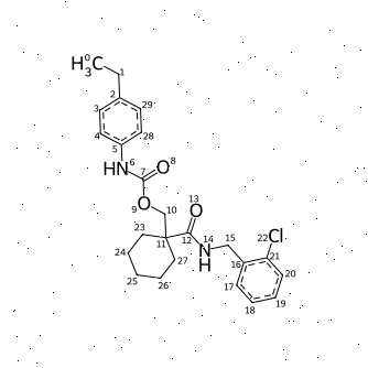 CCc1ccc(NC(=O)OCC2(C(=O)NCc3ccccc3Cl)CCCCC2)cc1